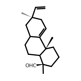 C=C[C@@]1(C)CC=C2C(CCC3[C@@]2(C)CCC[C@@]3(C)C=O)C1